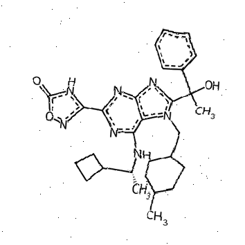 CC1CCC(Cn2c(C(C)(O)c3ccccc3)nc3nc(-c4noc(=O)[nH]4)nc(N[C@H](C)C4CCC4)c32)CC1